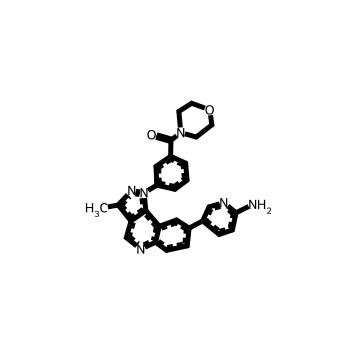 Cc1nn(-c2cccc(C(=O)N3CCOCC3)c2)c2c1cnc1ccc(-c3ccc(N)nc3)cc12